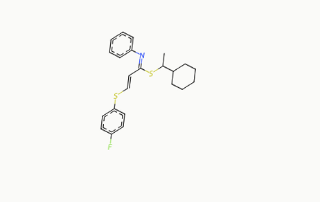 CC(SC(C=CSc1ccc(F)cc1)=Nc1ccccc1)C1CCCCC1